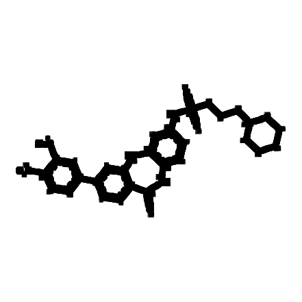 COc1cc(-c2ccc3c(c2)Nc2cc(NS(=O)(=O)CCCN4CCCCC4)ccc2NC3=O)ccc1[N+](=O)[O-]